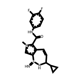 Cn1cc2c(c1C(=O)Nc1ccc(F)c(F)c1)C=CC(C1CC1)NS2=N